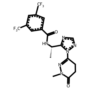 C[C@H](NC(=O)c1cc(C(F)(F)F)cc(C(F)(F)F)c1)c1ncnn1C1=NN(C)C(=O)CC1